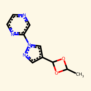 CC1OC(c2cnn(-c3cnccn3)c2)O1